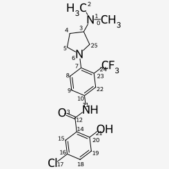 CN(C)C1CCN(c2ccc(NC(=O)c3cc(Cl)ccc3O)cc2C(F)(F)F)C1